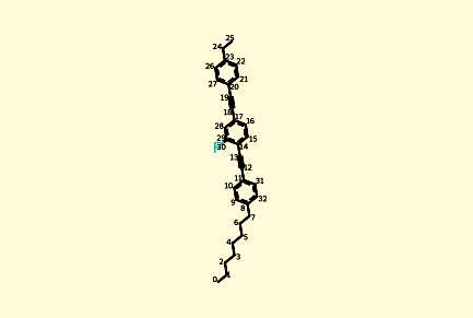 CCCCCCCCc1ccc(C#Cc2ccc(C#Cc3ccc(CC)cc3)cc2F)cc1